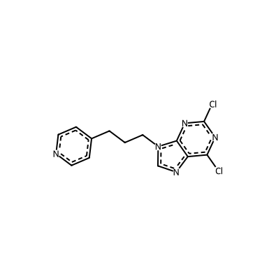 Clc1nc(Cl)c2ncn(CCCc3ccncc3)c2n1